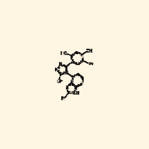 CC(C)c1cc2c(-n3c(O)nnc3-c3cc(C(C)C)c(O)cc3O)cccc2[nH]1